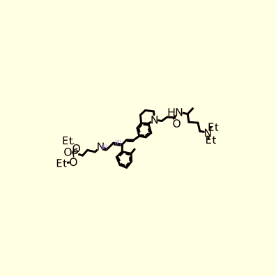 CCOP(=O)(CCC/N=C/C=C(/C=Cc1ccc2c(c1)CCCN2CCC(=O)NC(C)CCCN(CC)CC)c1ccccc1C)OCC